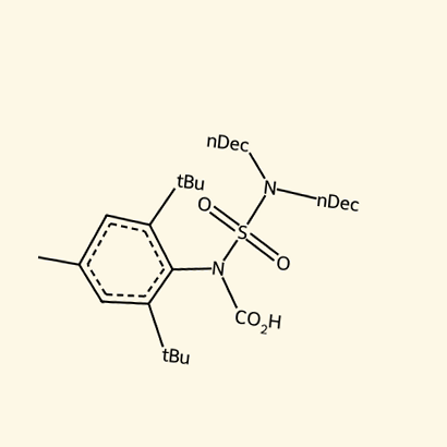 CCCCCCCCCCN(CCCCCCCCCC)S(=O)(=O)N(C(=O)O)c1c(C(C)(C)C)cc(C)cc1C(C)(C)C